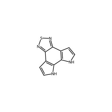 c1cc2c3nsnc3c3cc[nH]c3c2[nH]1